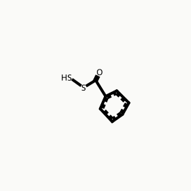 O=C(SS)c1ccccc1